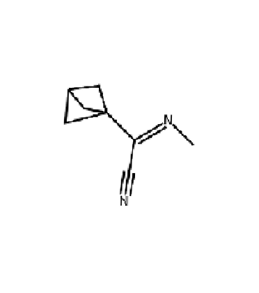 CN=C(C#N)C12CC(C1)C2